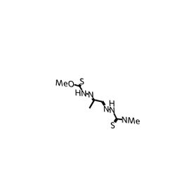 CNC(=S)N/N=C/C(C)=N/NC(=S)OC